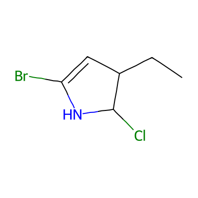 CCC1C=C(Br)NC1Cl